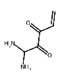 C=CC(=O)C(=O)C(N)N